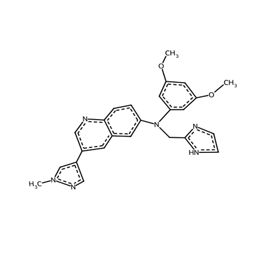 COc1cc(OC)cc(N(Cc2ncc[nH]2)c2ccc3ncc(-c4cnn(C)c4)cc3c2)c1